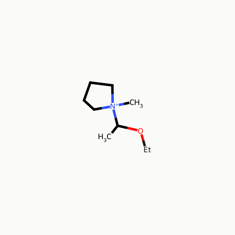 CCOC(C)[N+]1(C)CCCC1